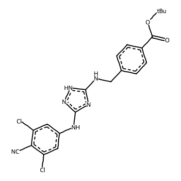 CC(C)(C)OC(=O)c1ccc(CNc2nc(Nc3cc(Cl)c(C#N)c(Cl)c3)n[nH]2)cc1